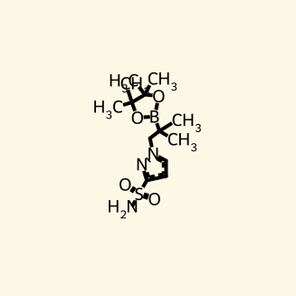 CC(C)(Cn1ccc(S(N)(=O)=O)n1)B1OC(C)(C)C(C)(C)O1